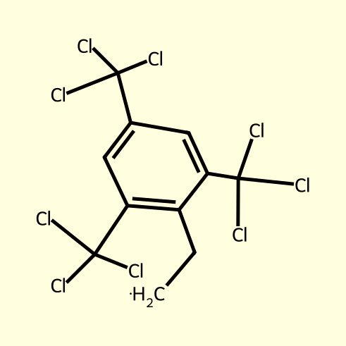 [CH2]Cc1c(C(Cl)(Cl)Cl)cc(C(Cl)(Cl)Cl)cc1C(Cl)(Cl)Cl